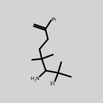 C=C(CCC(C)(C)C(N)C(C)(C)CC)C(C)C